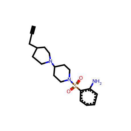 C#CCC1CCN(C2CCN(S(=O)(=O)c3ccccc3N)CC2)CC1